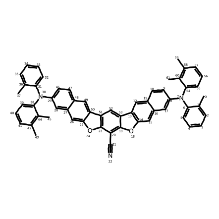 Cc1ccccc1N(c1ccc2cc3c(cc2c1)oc1c(C#N)c2oc4cc5cc(N(c6ccccc6C)c6cccc(C)c6C)ccc5cc4c2cc13)c1cccc(C)c1C